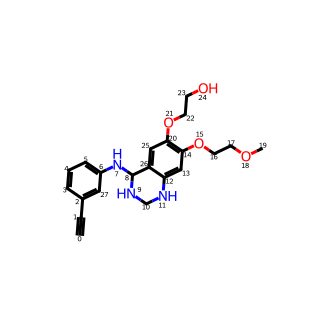 C#Cc1cccc(NC2NCNc3cc(OCCOC)c(OCCO)cc32)c1